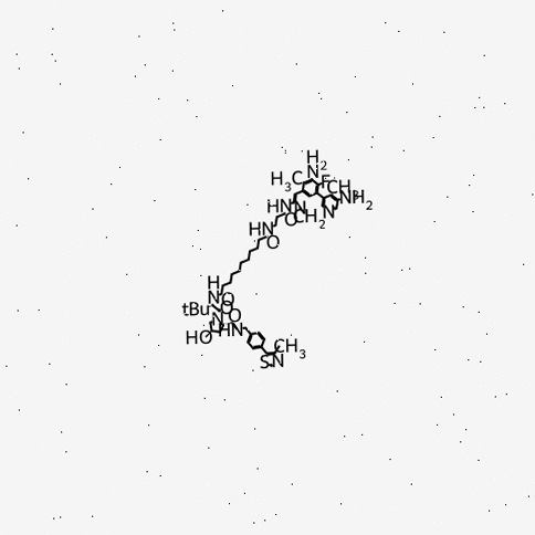 C=N/C(=C\c1cc(-c2cncc(N)c2C)c(F)c(N)c1C)NC(=O)CCNC(=O)CCCCCCCCCC(=O)N[C@H](C(=O)N1C[C@H](O)C[C@H]1C(=O)NCc1ccc(-c2scnc2C)cc1)C(C)(C)C